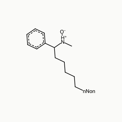 CCCCCCCCCCCCCCC(c1ccccc1)[NH+](C)[O-]